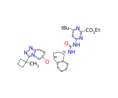 CCOC(=O)c1nc(NC(=O)N[C@H]2CC[C@@H](Oc3ccc4nnc(C5(C)CCC5)n4c3)c3ccccc32)cc(C(C)(C)C)n1